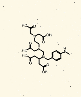 CNc1ccc(CN(CN(CCN(CC(=O)O)CC(=O)O)CC(=O)O)C(CC(=O)O)CC(=O)O)cc1